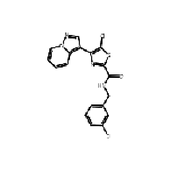 O=C(NCc1cccc(Cl)c1)c1nc(-c2cnn3ccccc23)c(Cl)s1